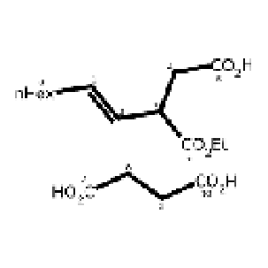 CCCCCCC=CC(CC(=O)O)C(=O)OCC.O=C(O)CCC(=O)O